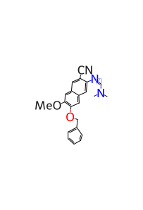 COc1cc2cc(C#N)c(/N=C\N(C)C)cc2cc1OCc1ccccc1